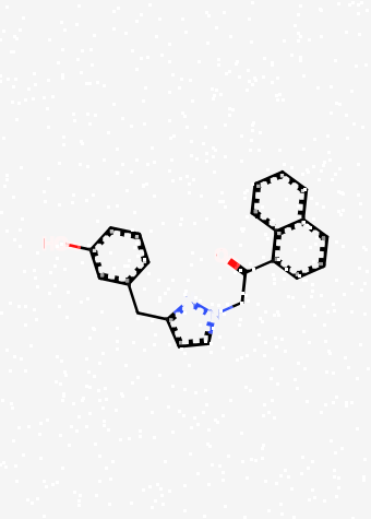 O=C(Cn1[c]cc(Cc2cccc(O)c2)n1)c1cccc2ccccc12